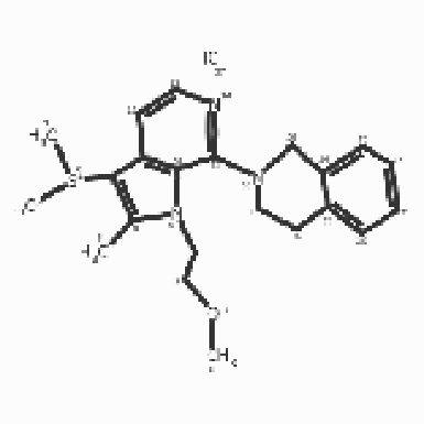 COCCn1c(C)c([S+](C)[O-])c2ccnc(N3CCc4ccccc4C3)c21.Cl